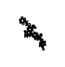 CNc1cc(OCCN2CCCCC2)c(OC)cc1C(=N)N1CCN(C(=S)NCc2cnc(C)cn2)CC1